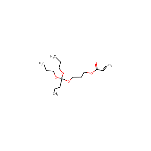 C=CC(=O)OCCCO[Si](CCC)(OCCC)OCCC